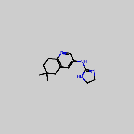 CC1(C)CCc2ncc(NC3=NCCN3)cc2C1